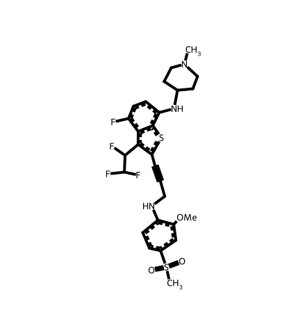 COc1cc(S(C)(=O)=O)ccc1NCC#Cc1sc2c(NC3CCN(C)CC3)ccc(F)c2c1C(F)C(F)F